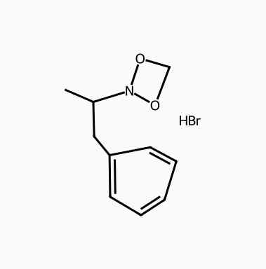 Br.CC(Cc1ccccc1)N1OCO1